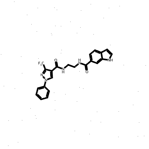 O=C(NCCNC(=O)c1cn(-c2ccccc2)nc1C(F)(F)F)c1ccc2cc[nH]c2c1